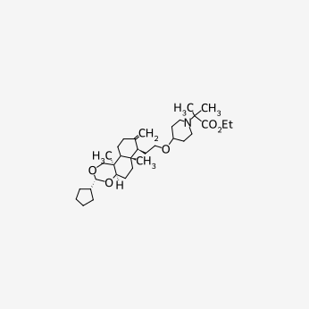 C=C1CCC2[C@]3(C)CO[C@@H](C4CCCC4)O[C@@H]3CC[C@@]2(C)[C@@H]1CCOC1CCN(C(C)(C)C(=O)OCC)CC1